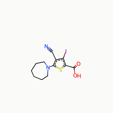 N#Cc1c(N2CCCCCC2)sc(C(=O)O)c1I